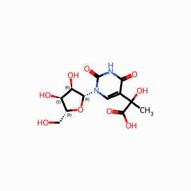 CC(O)(C(=O)O)c1cn([C@@H]2O[C@H](CO)[C@@H](O)[C@H]2O)c(=O)[nH]c1=O